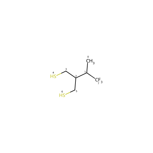 CC(C(CS)CS)C(F)(F)F